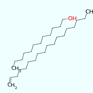 C=CCCCCCCCCCCCCCCCC.CCCCCCCCCCCCO